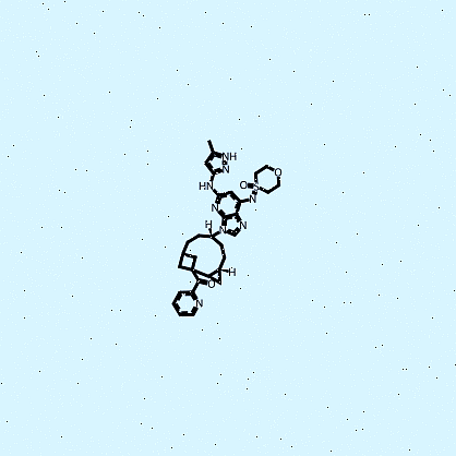 Cc1cc(Nc2cc(N=S3(=O)CCOCC3)c3ncn([C@H]4CCC5CC(C(=O)c6ccccn6)(C5)C5C[C@H]5CC4)c3n2)n[nH]1